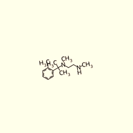 CNCCN(C)C(C)(C)c1ccccc1C